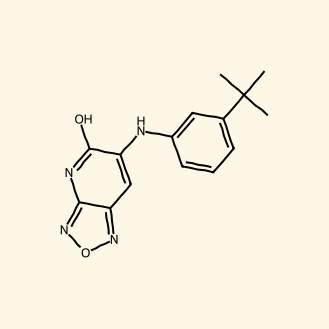 CC(C)(C)c1cccc(Nc2cc3nonc3nc2O)c1